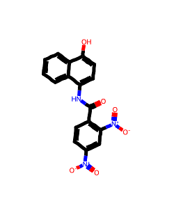 O=C(Nc1ccc(O)c2ccccc12)c1ccc([N+](=O)[O-])cc1[N+](=O)[O-]